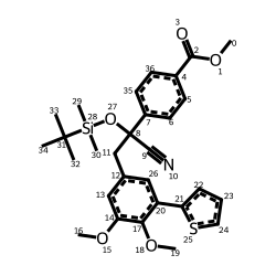 COC(=O)c1ccc(C(C#N)(Cc2cc(OC)c(OC)c(-c3cccs3)c2)O[Si](C)(C)C(C)(C)C)cc1